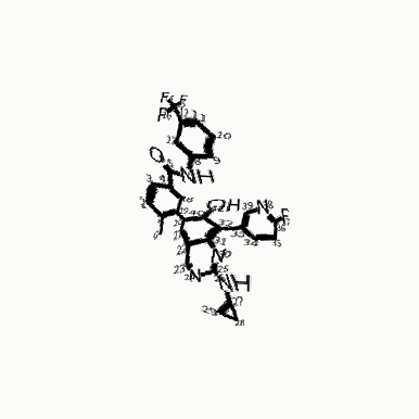 Cc1ccc(C(=O)Nc2cccc(C(F)(F)F)c2)cc1-c1cc2cnc(NC3CC3)nc2c(-c2ccc(F)nc2)c1O